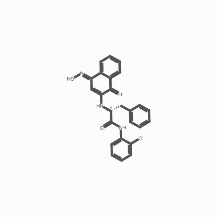 O=C1C(N[C@H](Cc2ccccc2)C(=O)Nc2ccccc2Cl)=CC(=NO)c2ccccc21